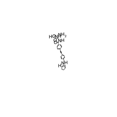 NC[C@H](NC(=O)c1ccc(C#Cc2ccc(CN[C@@H]3CC4CC[C@@H]3C4)cc2)cc1)C(=O)NO